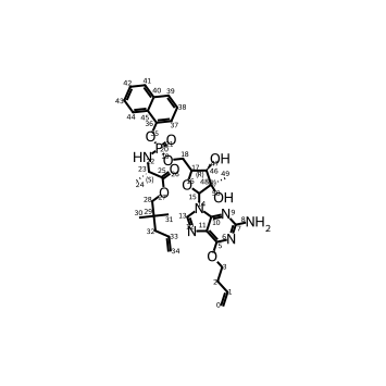 C=CCCOc1nc(N)nc2c1ncn2C1OC(COP(=O)(N[C@@H](C)C(=O)OCC(C)(C)CC=C)Oc2cccc3ccccc23)[C@@H](O)[C@@]1(C)O